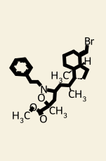 COC(=O)C1(C)CC(C[C@@H](C)[C@H]2CC[C@H]3/C(=C/Br)CCC[C@]23C)N(CCc2ccccc2)O1